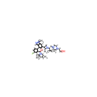 CCN(C(=O)c1cc(F)ccc1-c1cc(C2CN([C@H](CN3CCN(CCO)CC3)C(C)C)C2)cc2c1cnn2C)C(C)C